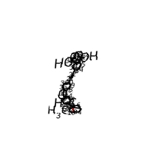 CC12CC3CC(C1)CC(C)(C3)C2c1ccc(Oc2ccc(C#Cc3ccc(C(=O)O)c(C(=O)O)c3)cc2)cc1